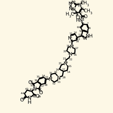 CC1=C(C(=O)Nc2ccc3[nH]nc(-c4ccnc(N5CCN(CCN6CCC(CN7CCN(c8ccc9c(c8)C(=O)N(C8CCC(=O)NC8=O)C9=O)CC7)CC6)CC5)c4)c3c2)C(C)(C)n2nnnc2N1C